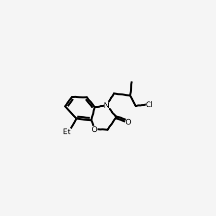 CCc1cccc2c1OCC(=O)N2CC(C)CCl